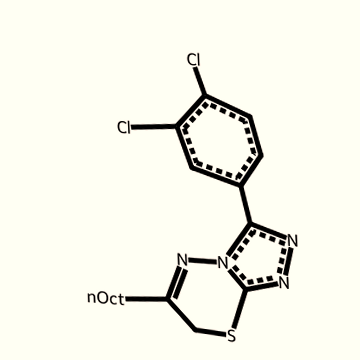 CCCCCCCCC1=Nn2c(nnc2-c2ccc(Cl)c(Cl)c2)SC1